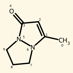 Cc1cc(=O)n2n1CCC2